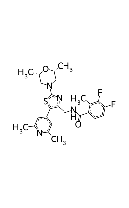 Cc1cc(-c2sc(N3C[C@@H](C)O[C@@H](C)C3)nc2CNC(=O)c2ccc(F)c(F)c2C)cc(C)n1